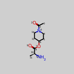 CC(=O)N1CCC(OC(=O)[C@H](C)N)CC1